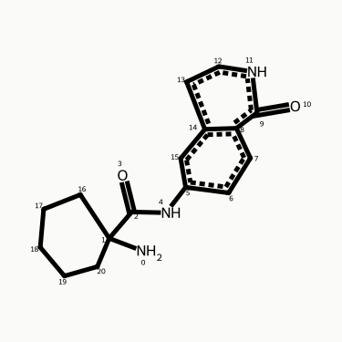 NC1(C(=O)Nc2ccc3c(=O)[nH]ccc3c2)CCCCC1